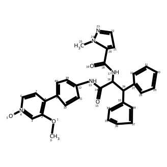 COc1c[n+]([O-])ccc1-c1ccc(NC(=O)C(NC(=O)c2ccnn2C)C(c2ccccc2)c2ccccc2)cc1